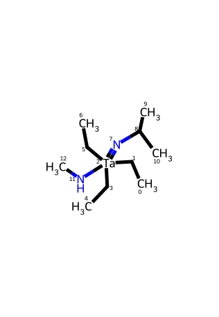 C[CH2][Ta]([CH2]C)([CH2]C)(=[N]C(C)C)[NH]C